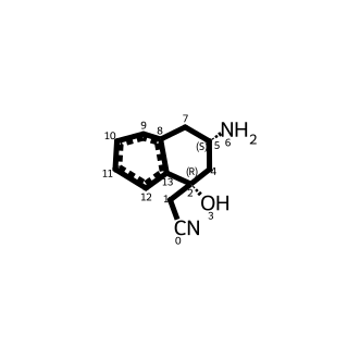 N#CC[C@]1(O)C[C@@H](N)Cc2ccccc21